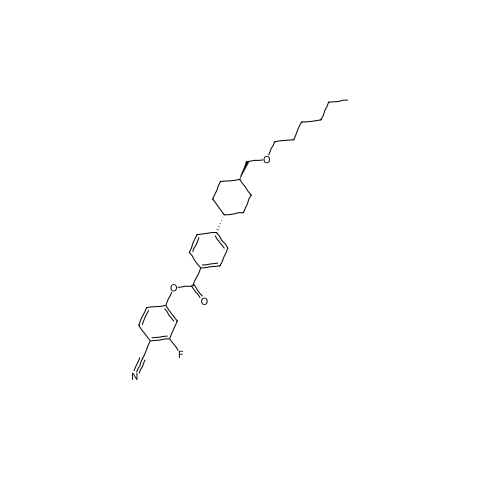 CCCCCCOC[C@H]1CC[C@H](c2ccc(C(=O)Oc3ccc(C#N)c(F)c3)cc2)CC1